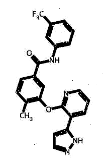 Cc1ccc(C(=O)Nc2cccc(C(F)(F)F)c2)cc1Oc1ncccc1-c1ccn[nH]1